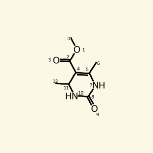 COC(=O)C1=C(C)NC(=O)NC1C